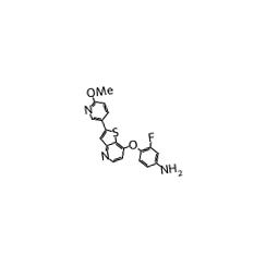 COc1ccc(-c2cc3nccc(Oc4ccc(N)cc4F)c3s2)cn1